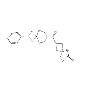 O=C1NC2(CO1)CC(C(=O)N1CCC3(CC1)CC(c1ccccc1)C3)C2